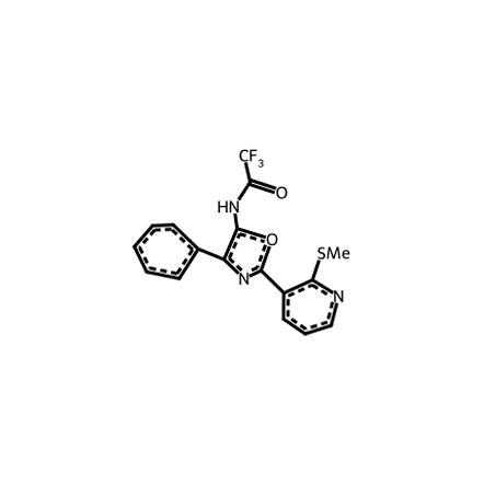 CSc1ncccc1-c1nc(-c2ccccc2)c(NC(=O)C(F)(F)F)o1